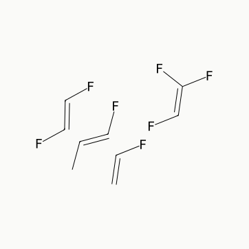 C=CF.CC=CF.FC=C(F)F.FC=CF